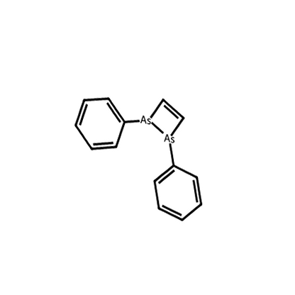 C1=C[As](c2ccccc2)[As]1c1ccccc1